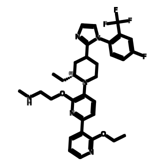 CCOc1ncccc1-c1ccc(N2CCC(c3nccn3-c3ccc(F)cc3C(F)(F)F)C[C@H]2CC)c(OCCNC)n1